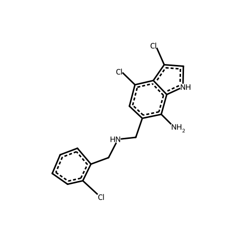 Nc1c(CNCc2ccccc2Cl)cc(Cl)c2c(Cl)c[nH]c12